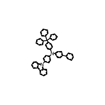 c1ccc(-c2ccc(N(c3ccc(-n4c5ccccc5c5ccccc54)cc3)c3ccc(C(c4ccccc4)(c4ccccc4)c4ccccc4)cc3)cc2)cc1